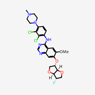 COc1cc2c(Nc3ccc(N4CCN(C)CC4)c(Cl)c3Cl)ncnc2cc1O[C@H]1CO[C@H]2[C@@H]1OC[C@@H]2F